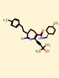 CCC1=NC(C#CC(C)(C)O)=C(C(=O)NC[C@H]2CC[C@H](C(=O)O)CC2)CCC1CCc1ccc(C(F)(F)F)cc1